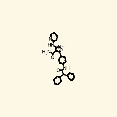 NC(=O)c1c(-c2ccc(NC(=O)C(c3ccccc3)c3ccccc3)cc2)n[nH]c1Nc1ccccn1